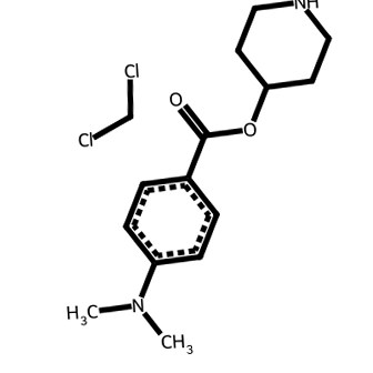 CN(C)c1ccc(C(=O)OC2CCNCC2)cc1.ClCCl